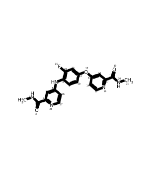 CNC(=O)c1cc(Nc2ccc(Oc3ccnc(C(=O)NC)c3)cc2F)ccn1